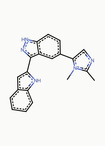 Cc1ncc(-c2ccc3[nH]nc(-c4cc5ccccc5[nH]4)c3c2)n1C